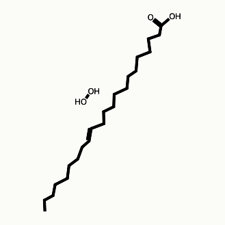 CCCCCCCCC=CCCCCCCCCCCCC(=O)O.OO